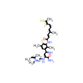 C/C=C(/C)N(C)/N=C/N/C(=C/C(=N)c1cc(C)c(F)c(NC(=O)/C=C/C(C)=C/C=C\C(F)=C(/C)S)c1C)C(N)=O